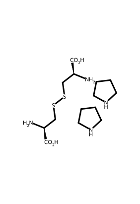 C1CCNC1.C1CCNC1.N[C@@H](CSSC[C@H](N)C(=O)O)C(=O)O